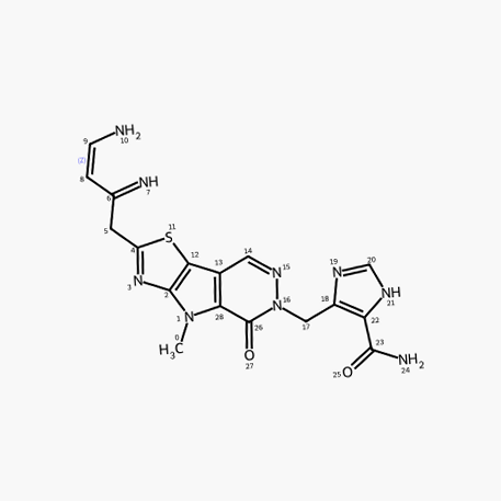 Cn1c2nc(CC(=N)/C=C\N)sc2c2cnn(Cc3nc[nH]c3C(N)=O)c(=O)c21